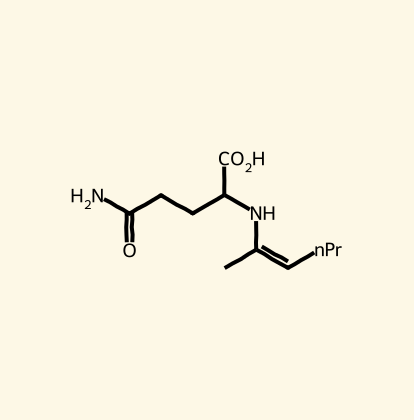 CCCC=C(C)NC(CCC(N)=O)C(=O)O